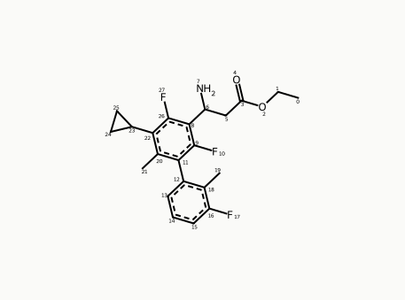 CCOC(=O)CC(N)c1c(F)c(-c2cccc(F)c2C)c(C)c(C2CC2)c1F